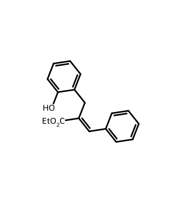 CCOC(=O)C(=Cc1ccccc1)Cc1ccccc1O